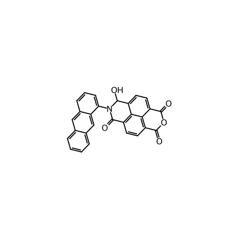 O=C1OC(=O)c2ccc3c4c(ccc1c24)C(=O)N(c1cccc2cc4ccccc4cc12)C3O